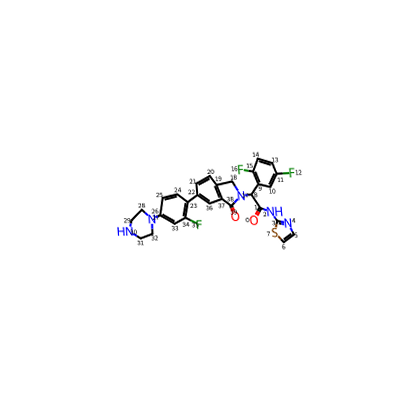 O=C(Nc1nccs1)C(c1cc(F)ccc1F)N1Cc2ccc(-c3ccc(N4CCNCC4)cc3F)cc2C1=O